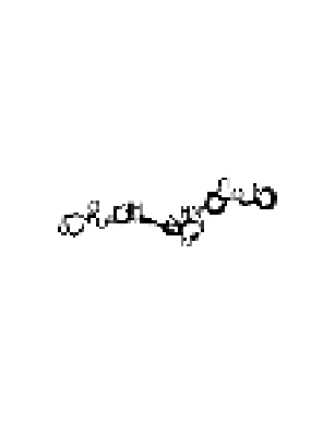 O=C(O[C@@H]1CN[C@H](C#Cc2cc3ncnc(Nc4ccc(OCc5ccccn5)c(Cl)c4)c3s2)C1)N1CCOCC1